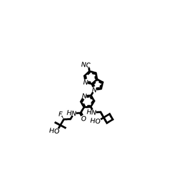 CC(C)(O)[C@H](F)CNC(=O)c1cnc(-n2ccc3cc(C#N)cnc32)cc1NCC1(O)CCC1